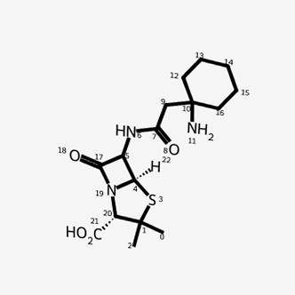 CC1(C)S[C@@H]2C(NC(=O)CC3(N)CCCCC3)C(=O)N2[C@H]1C(=O)O